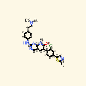 CCN(CC)CCc1ccc(Nc2ncc3cc(-c4ccc(-c5cnc(C)s5)cc4Cl)c(=O)n(CC)c3n2)cc1